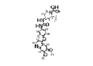 CCC1CC(NC(=O)Nc2ccc(Oc3ccnc4cc(OC)c(OC)cc34)cc2)CCN1C(=O)O